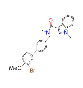 COc1ccc(-c2ccc(CN(C)C(=O)c3cn(C)c4ccccc34)cc2)cc1Br